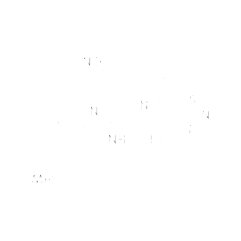 CSCCC1NC2(CCN(C(=O)c3snnc3C)CC2)N(Cc2ccccc2[N+](=O)[O-])C1=O